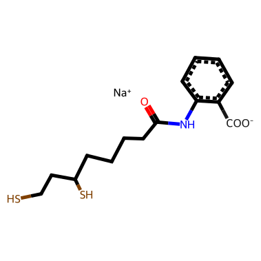 O=C(CCCCC(S)CCS)Nc1ccccc1C(=O)[O-].[Na+]